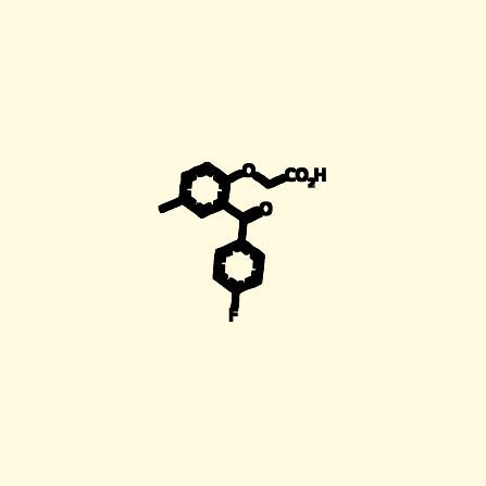 Cc1ccc(OCC(=O)O)c(C(=O)c2ccc(F)cc2)c1